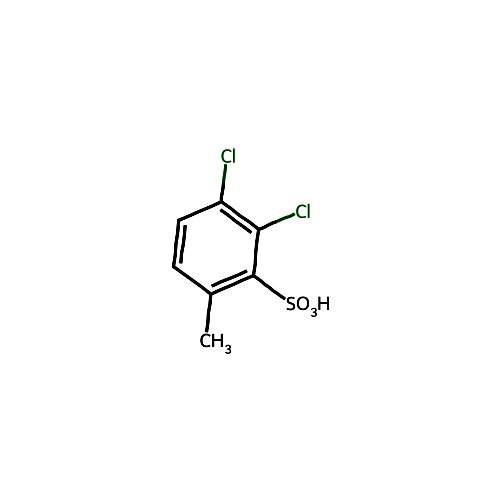 Cc1ccc(Cl)c(Cl)c1S(=O)(=O)O